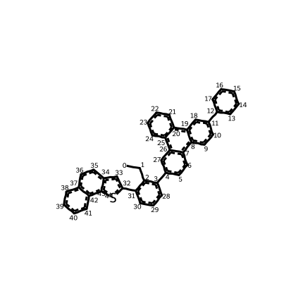 CCc1c(-c2ccc3c4ccc(-c5ccccc5)cc4c4ccccc4c3c2)cccc1-c1cc2ccc3ccccc3c2s1